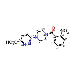 O=C(O)c1ccc(N2CCN(C(=O)c3ccccc3[N+](=O)[O-])CC2)nn1